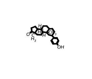 C[C@]12CC(c3ccc(O)cc3)CCC1CC[C@@H]1[C@H]2CC[C@]2(C)C(=O)CC[C@@H]12